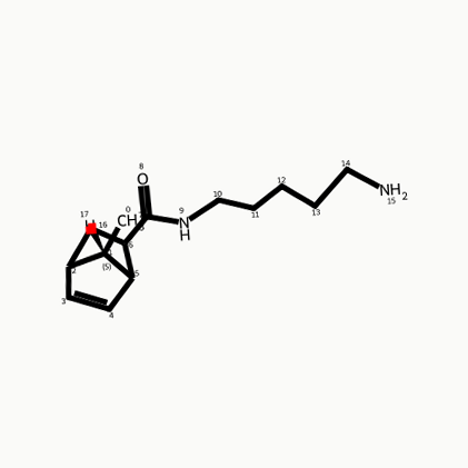 C[C@H]1C2C=CC1C(C(=O)NCCCCCN)C2